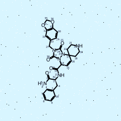 NC(=O)[C@H](Cc1ccccc1)NC(=O)C1C=CC2(CCNCC2)n2c(=O)n(Cc3ccc4c(c3)OCO4)c(=O)n21